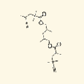 C#CC(C)CC(C)(C)C(=O)OCC(C)CC(C)COC(=O)C(C)CC(C)(C)C#C